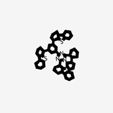 c1ccc(-c2ccccc2-c2nc(-c3cc(-c4cccc5c4sc4ccccc45)cc(-c4cccc5c4sc4ccccc45)c3)nc(-c3cccc4c3sc3ccccc34)n2)cc1